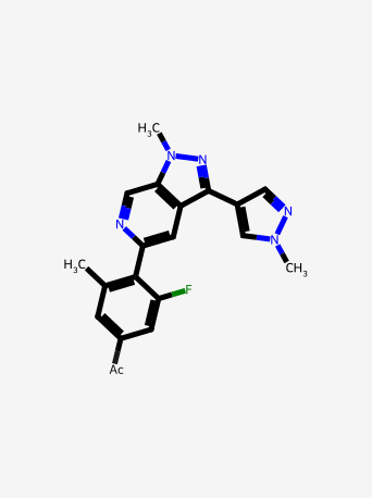 CC(=O)c1cc(C)c(-c2cc3c(-c4cnn(C)c4)nn(C)c3cn2)c(F)c1